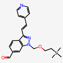 C[Si](C)(C)CCOCn1nc(C=Cc2ccncc2)c2ccc(C=O)cc21